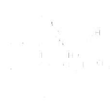 C=CC(C)(C)C1CC(=O)N1C(C(=O)O)=P(c1ccccc1)(c1ccccc1)c1ccccc1